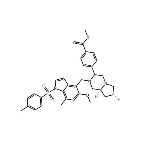 COC(=O)c1ccc(C2CN3C[C@H](C)C[C@H]3CN2Cc2c(OC)cc(C)c3c2ccn3S(=O)(=O)c2ccc(C)cc2)cc1